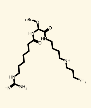 CCCCOC(NC(=O)CCCCCCNC(=N)N)C(=O)NCCCCNCCCN